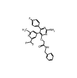 Cc1cc(-c2c(OCC(=O)NCc3ccccc3)nc(N)nc2-c2ccc(F)cc2)cc(C(F)F)n1